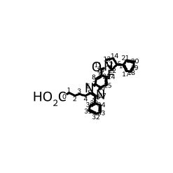 O=C(O)CCCCc1nc2cc(C(=O)N3CCC(c4ccccc4)C3)c(F)cc2nc1-c1ccccc1